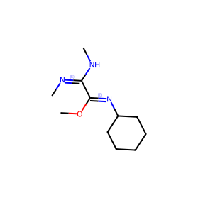 C/N=C(NC)\C(=N\C1CCCCC1)OC